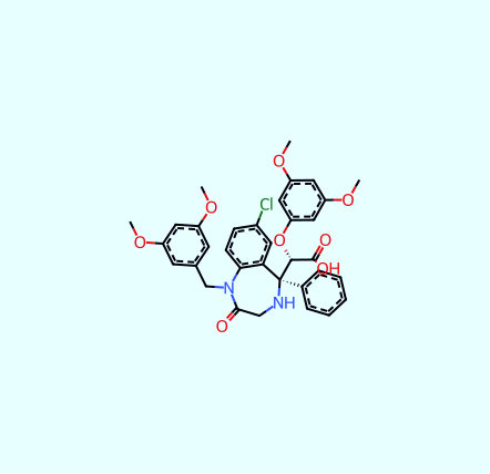 COc1cc(CN2C(=O)CN[C@](c3ccccc3)([C@H](Oc3cc(OC)cc(OC)c3)C(=O)O)c3cc(Cl)ccc32)cc(OC)c1